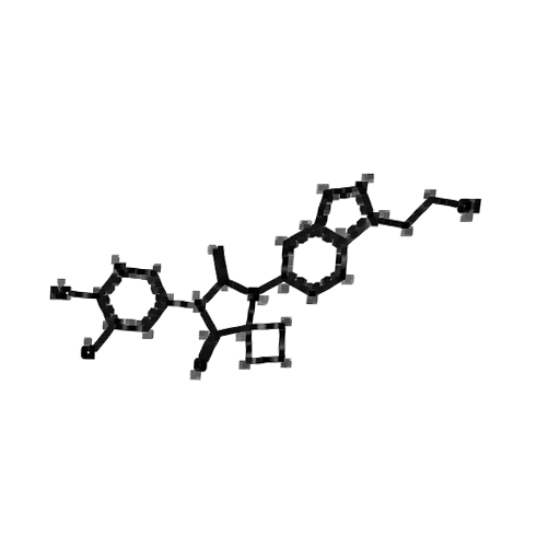 C=C1N(c2cnc(C#N)c(Cl)c2)C(=O)C2(CCC2)N1c1ccc2c(cnn2CCO)c1